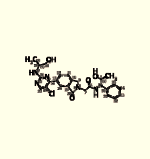 C[C@H](O)[C@@H](NC(=O)CN1Cc2ccc(-c3nc(N[C@@H](C)CO)ncc3Cl)cc2C1=O)c1ccccc1